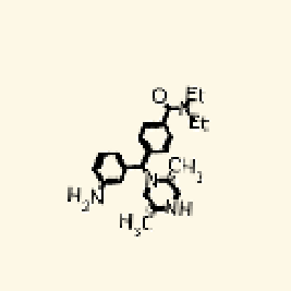 CCN(CC)C(=O)c1ccc(C(c2cccc(N)c2)N2C[C@H](C)NC[C@H]2C)cc1